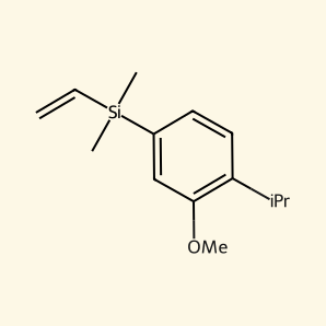 C=C[Si](C)(C)c1ccc(C(C)C)c(OC)c1